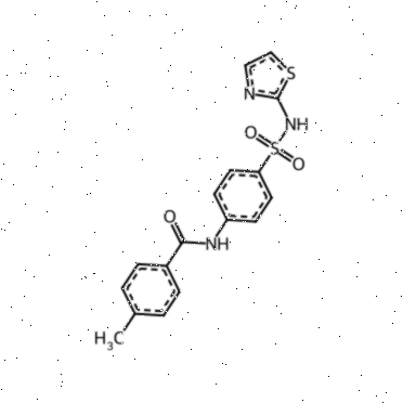 Cc1ccc(C(=O)Nc2ccc(S(=O)(=O)Nc3nccs3)cc2)cc1